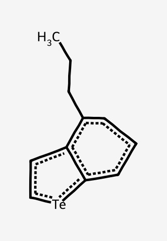 CCCc1cccc2[te]ccc12